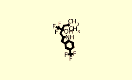 CC(C)CC(O)(Cc1cc2cc(C(F)(F)F)ccc2[nH]1)C(F)(F)F